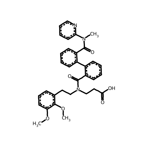 COc1cccc(CCN(CCC(=O)O)C(=O)c2ccccc2-c2ccccc2C(=O)N(C)c2ccccn2)c1OC